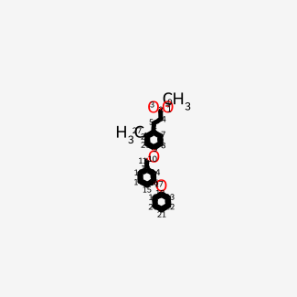 COC(=O)CCc1ccc(OCc2cccc(Oc3ccccc3)c2)cc1C